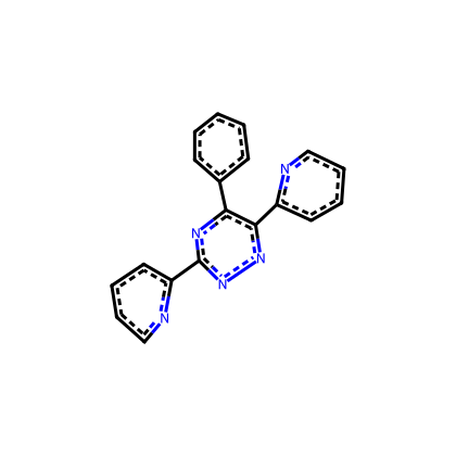 c1ccc(-c2nc(-c3ccccn3)nnc2-c2ccccn2)cc1